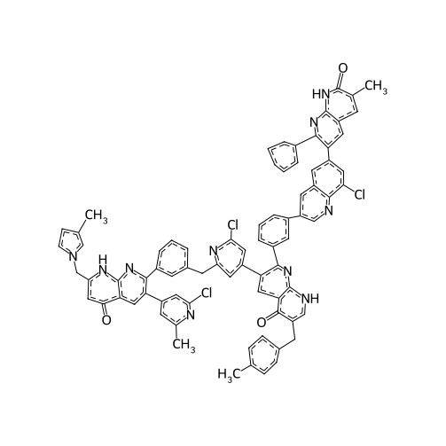 Cc1ccc(Cc2c[nH]c3nc(-c4cccc(-c5cnc6c(Cl)cc(-c7cc8cc(C)c(=O)[nH]c8nc7-c7ccccc7)cc6c5)c4)c(-c4cc(Cl)nc(Cc5cccc(-c6nc7[nH]c(Cn8ccc(C)c8)cc(=O)c7cc6-c6cc(C)nc(Cl)c6)c5)c4)cc3c2=O)cc1